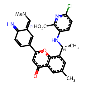 CN/C=C1/C=C(c2cc(=O)c3cc(C)cc([C@@H](C)Nc4ccc(Cl)nc4C(=O)O)c3o2)C=CC1=N